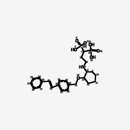 O=P(O)(O)C(CCNC1CCCCC1OCc1ccc(C=Cc2ccccc2)cc1)P(=O)(O)O